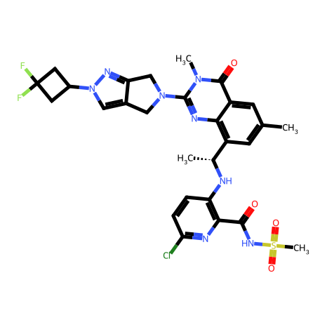 Cc1cc([C@@H](C)Nc2ccc(Cl)nc2C(=O)NS(C)(=O)=O)c2nc(N3Cc4cn(C5CC(F)(F)C5)nc4C3)n(C)c(=O)c2c1